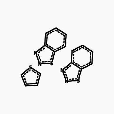 c1ccc2snnc2c1.c1ccc2snnc2c1.c1ccsc1